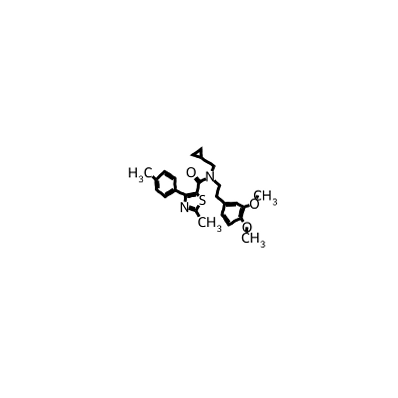 COc1ccc(CCN(CC2CC2)C(=O)c2sc(C)nc2-c2ccc(C)cc2)cc1OC